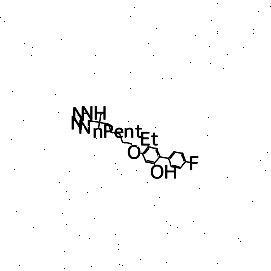 CCCCCC(C)(CCCCCOc1cc(O)c(-c2ccc(F)cc2)cc1CC)c1nnn[nH]1